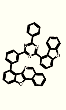 c1ccc(-c2nc(-c3cccc(-c4cccc5oc6c7ccccc7cnc6c45)c3)nc(-c3cccc4oc5ccccc5c34)n2)cc1